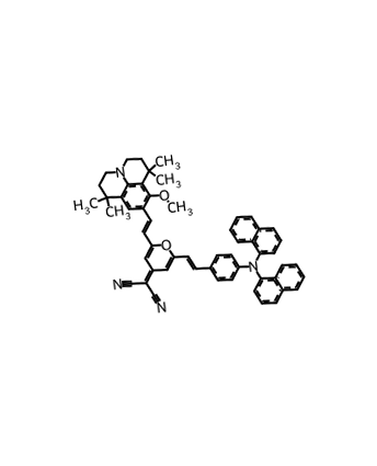 COc1c(/C=C/C2=CC(=C(C#N)C#N)C=C(/C=C/c3ccc(N(c4cccc5ccccc45)c4cccc5ccccc45)cc3)O2)cc2c3c1C(C)(C)CCN3CCC2(C)C